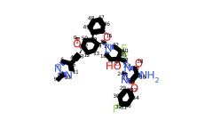 CO[C@]1(C#Cc2cnc(C)nc2)CC[C@@H](C(=O)N2CC[C@](O)(Cn3cnc(Oc4ccc(F)cc4)c(N)c3=O)C(F)(F)C2)[C@H](c2ccccc2)C1